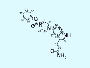 NC(=O)/C=C/c1c[nH]c2ncc(N3CCN(C(=O)Oc4ccccc4)CC3)cc12